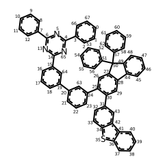 c1ccc(-c2nc(-c3ccccc3)nc(-c3cccc(-c4cccc(-c5cc6c(cc5-c5ccc7sc8ccccc8c7c5)-c5ccccc5C6(c5ccccc5)c5ccccc5)c4)c3)n2)cc1